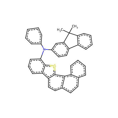 CC1(C)c2ccccc2-c2ccc(N(c3ccccc3)c3cccc4c3sc3c4ccc4ccc5ccccc5c43)cc21